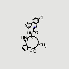 CC1CCC[C@H](NC(=O)/C=C/c2cc(Cl)ccc2-n2cnnn2)c2nc(c[nH]2)-c2ccccc2NC(=O)C1